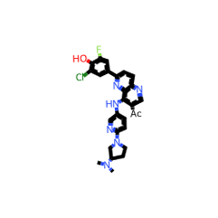 CC(=O)c1cnc2ccc(-c3cc(F)c(O)c(Cl)c3)nc2c1Nc1ccc(N2CCC(N(C)C)C2)nc1